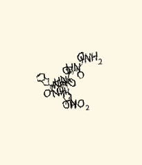 NC(=O)CNC(=O)[C@H]1OC1C(=O)N[C@H](Cc1ccc(O)c([N+](=O)[O-])c1)C(=O)N[C@@H](C(N)=O)C1Cc2ccccc2C1